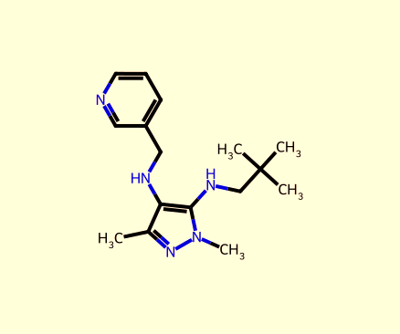 Cc1nn(C)c(NCC(C)(C)C)c1NCc1cccnc1